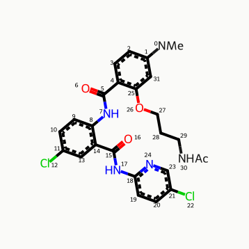 CNc1ccc(C(=O)Nc2ccc(Cl)cc2C(=O)Nc2ccc(Cl)cn2)c(OCCCNC(C)=O)c1